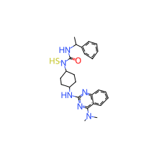 CC(NC(=O)N(S)C1CCC(Nc2nc(N(C)C)c3ccccc3n2)CC1)c1ccccc1